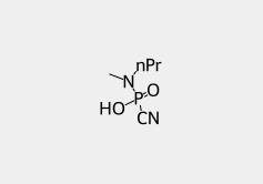 CCCN(C)P(=O)(O)C#N